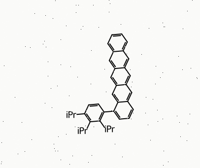 CC(C)c1ccc(-c2cccc3cc4cc5cc6ccccc6cc5cc4cc23)c(C(C)C)c1C(C)C